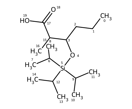 CCCC(O[Si](C(C)C)(C(C)C)C(C)C)C(C)C(=O)O